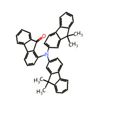 CC1(C)c2ccccc2-c2ccc(N(c3ccc4c(c3)C(C)(C)c3ccccc3-4)c3cccc4c3C(=O)c3ccccc3-4)cc21